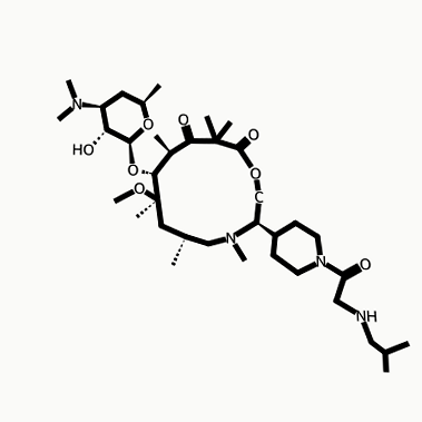 CO[C@]1(C)C[C@@H](C)CN(C)[C@H](C2CCN(C(=O)CNCC(C)C)CC2)COC(=O)C(C)(C)C(=O)[C@H](C)[C@H]1O[C@@H]1O[C@H](C)C[C@H](N(C)C)[C@H]1O